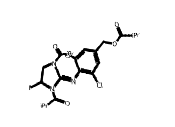 CC(C)C(=O)OCc1cc(Cl)c(N=C2N(C(=O)C(C)C)CC(I)N2C(=O)C(C)C)c(Cl)c1